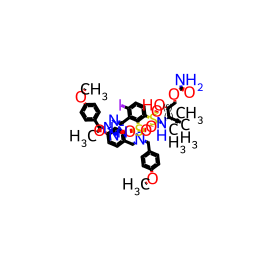 COc1ccc(CN(Cc2ccc(OC)cc2)S(=O)(=O)c2c(S(=O)(=O)N[C@H]([C@H](O)COC(N)=O)C(C)(C)C)ccc(I)c2-c2nnn(Cc3ccc(OC)cc3)n2)cc1